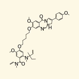 C=CN(C)C(=O)c1cc(OC)c(OCCCCCOc2cc3c(cc2OC)C(=O)N2C=C(c4ccc(OC)cc4)C[C@H]2C=N3)cc1N(C)C(C)(C=C)CC